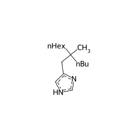 CCCCCCC(C)(CCCC)Cc1c[nH]cn1